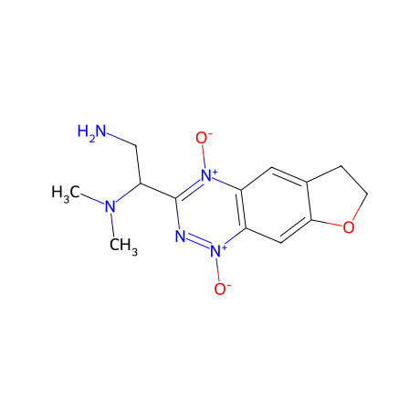 CN(C)C(CN)c1n[n+]([O-])c2cc3c(cc2[n+]1[O-])CCO3